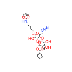 CC(C)(C)OC(=O)NCCCCCO[C@@H]1OC(CN=[N+]=[N-])[C@@H](O[C@@H]2OC3COC(c4ccccc4)O[C@@H]3[C@H](O)C2O)[C@H](O)C1O